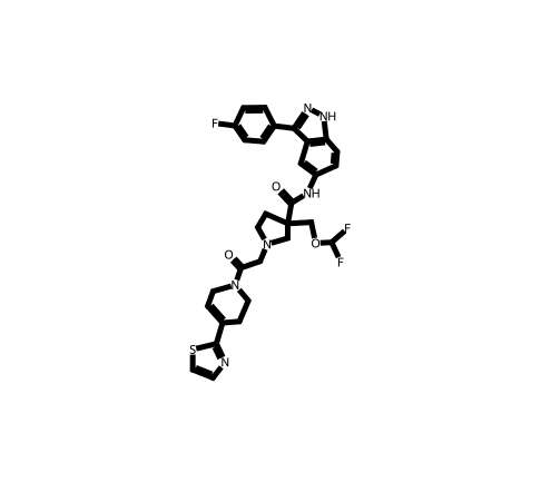 O=C(CN1CCC(COC(F)F)(C(=O)Nc2ccc3[nH]nc(-c4ccc(F)cc4)c3c2)C1)N1CC=C(c2nccs2)CC1